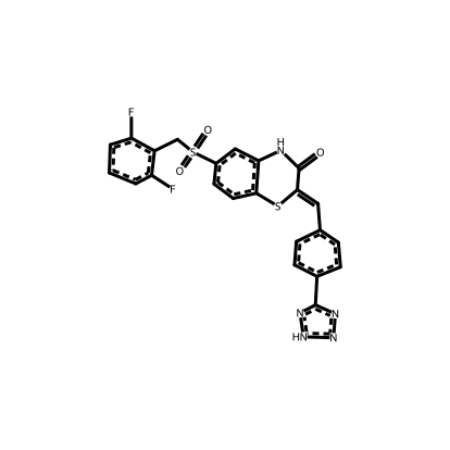 O=C1Nc2cc(S(=O)(=O)Cc3c(F)cccc3F)ccc2SC1=Cc1ccc(-c2nn[nH]n2)cc1